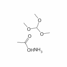 CC(=O)O.COC(OC)OC.N